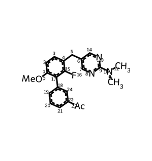 COc1ccc(Cc2cnc(N(C)C)nc2)c(F)c1-c1cccc(C(C)=O)c1